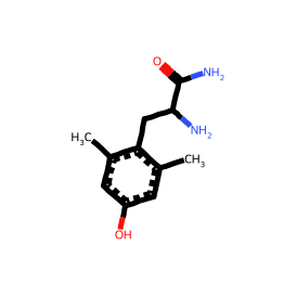 Cc1cc(O)cc(C)c1CC(N)C(N)=O